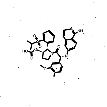 COc1cc([C@@H](Nc2ccc3c(N)nccc3c2)C(=O)N2CC[C@@H](OC(=O)O)[C@@H]2c2ccccc2S(=O)(=O)C(C)C)ccc1F